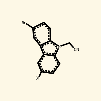 N#CCn1c2ccc(Br)cc2c2cc(Br)ccc21